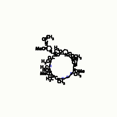 CO[C@H]1C[C@@H]2CC[C@@H](C)[C@@](O)(O2)C(=O)C(=O)N2CCCCC2C(=O)O[C@H]([C@H](C)C[C@@H]2CCC(SC[PH](C)=O)[C@H](OC)C2)CC(=O)[C@H](C)/C=C(\C)[C@@H](O)[C@@H](OC)C(=O)[C@H](C)C[C@H](C)/C=C/C=C/C=C/1C